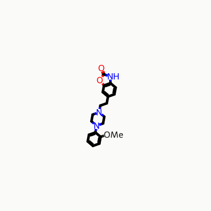 COc1ccccc1N1CCN(CCc2ccc3[nH]c(=O)oc3c2)CC1